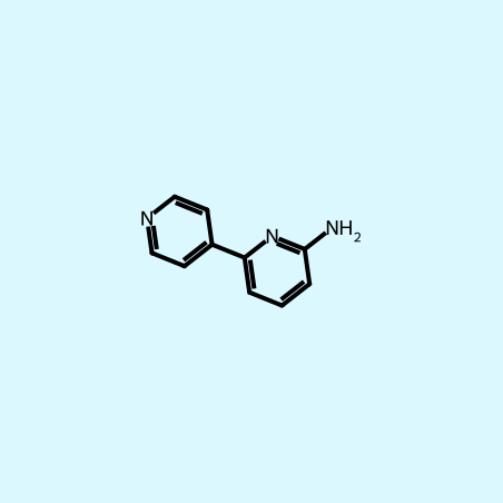 Nc1cccc(-c2ccncc2)n1